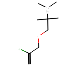 C=C(Br)COCC(C)(C)[SiH](C)C